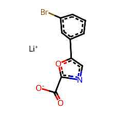 O=C([O-])c1ncc(-c2cccc(Br)c2)o1.[Li+]